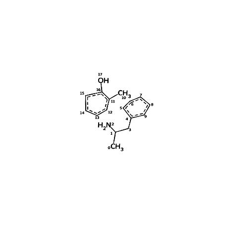 CC(N)Cc1ccccc1.Cc1ccccc1O